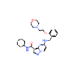 O=C(NC1CCCCC1)c1cnn2ccc(NCc3ccccc3OCCN3CCOCC3)nc12